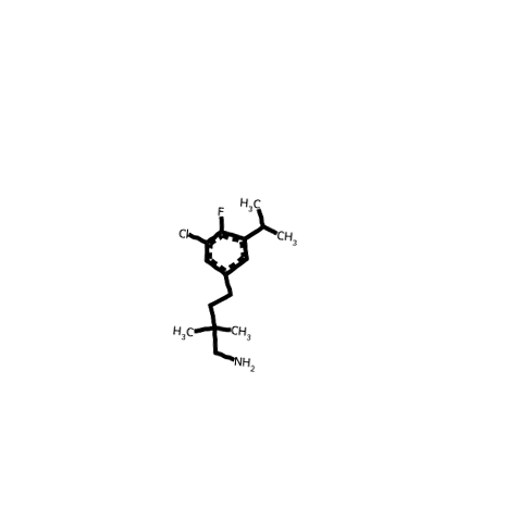 CC(C)c1cc(CCC(C)(C)CN)cc(Cl)c1F